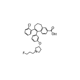 O=C(O)c1ccc2c(c1)CCCC(c1ccccc1Cl)=C2c1cccc(O[C@@H]2CCN(CCCF)C2)c1